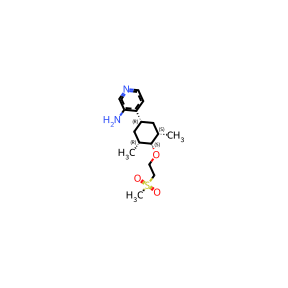 C[C@@H]1C[C@H](c2ccncc2N)C[C@H](C)[C@@H]1OCCS(C)(=O)=O